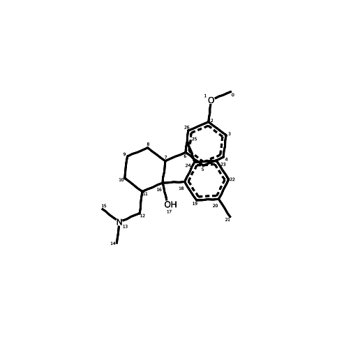 COc1cccc(C2CCCC(CN(C)C)C2(O)c2cc(C)ccc2C)c1